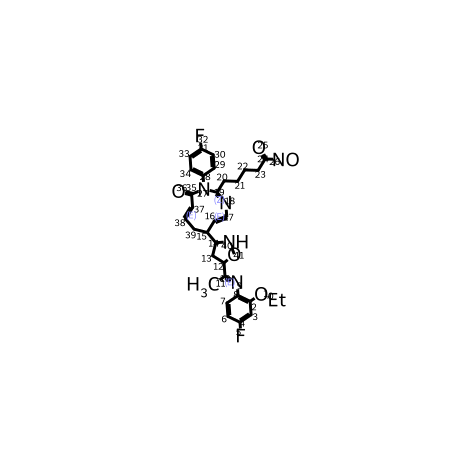 CCOc1cc(F)ccc1/N=C(\C)C1CC(C2/C=C/N=C(/CCCCC(=O)N=O)N(c3ccc(F)cc3)C(=O)/C=C/C2)NO1